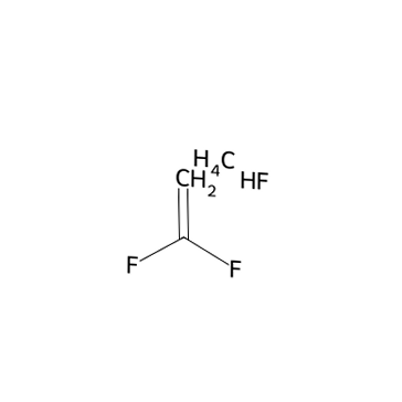 C.C=C(F)F.F